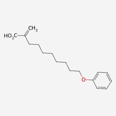 C=C(CCCCCCCCOc1ccccc1)C(=O)O